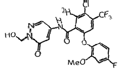 [2H]c1c(Cl)c(C(F)(F)F)cc(Oc2ccc(F)cc2OC)c1C(=O)Nc1cnn(CO)c(=O)c1